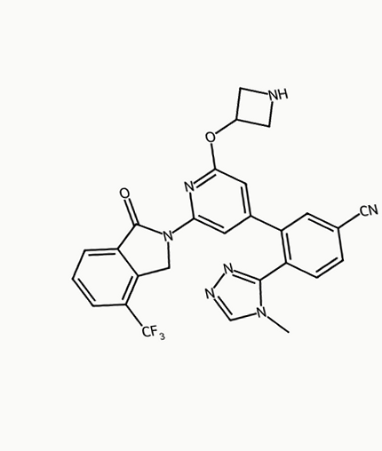 Cn1cnnc1-c1ccc(C#N)cc1-c1cc(OC2CNC2)nc(N2Cc3c(cccc3C(F)(F)F)C2=O)c1